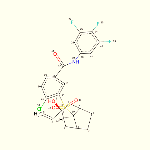 C=C[C@]1(O)CC2CCC(C1)[C@H]2S(=O)(=O)c1cc(C(=O)Nc2cc(F)c(F)c(F)c2)ccc1Cl